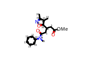 COC(=O)CC(CC(=O)N(C)c1ccccc1)c1onc(C)c1C